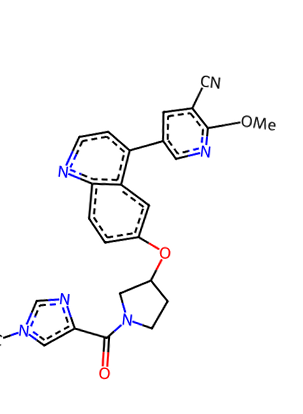 COc1ncc(-c2ccnc3ccc(OC4CCN(C(=O)c5cn(C)cn5)C4)cc23)cc1C#N